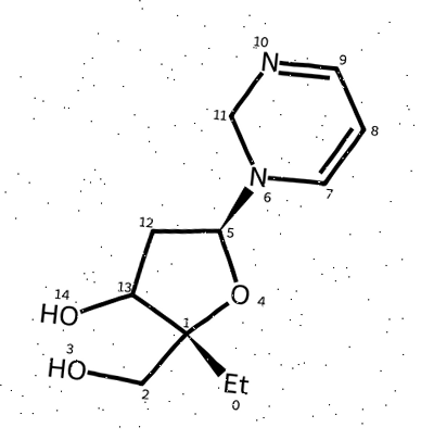 CC[C@]1(CO)O[C@H](N2C=CC=NC2)CC1O